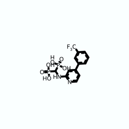 O=P(O)(O)C(Nc1cc(-c2cccc(C(F)(F)F)c2)ccn1)P(=O)(O)O